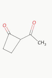 CC(=O)C1CCC1=O